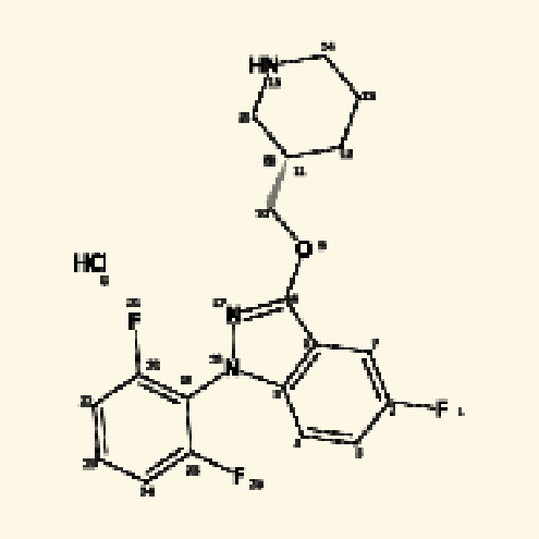 Cl.Fc1ccc2c(c1)c(OC[C@H]1CCCNC1)nn2-c1c(F)cccc1F